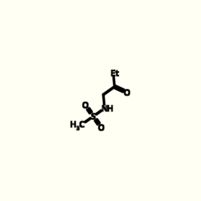 CCC(=O)CNS(C)(=O)=O